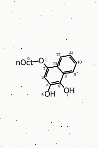 CCCCCCCCOc1cc(O)c(O)c2ccccc12